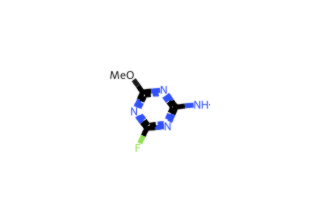 COc1nc([NH])nc(F)n1